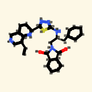 C=Cc1cncc2ccc(-c3nnc(N[C@H](Cc4ccccc4)CN4C(=O)c5ccccc5C4=O)s3)nc12